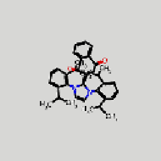 CC(C)c1cccc(C(C)C)c1N1C=CN(c2c(C(C)C)cccc2C(C)C)C1=C1CC(=O)c2ccccc2C1=O